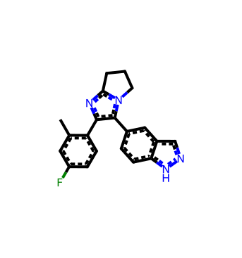 Cc1cc(F)ccc1-c1nc2n(c1-c1ccc3[nH]ncc3c1)CCC2